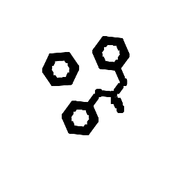 O=[PH](Oc1ccccc1)Oc1ccccc1.c1ccccc1